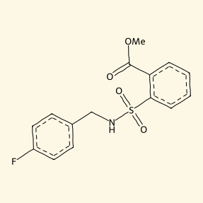 COC(=O)c1ccccc1S(=O)(=O)NCc1ccc(F)cc1